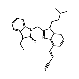 CC(C)CCn1c(Cn2c(=O)n(C(C)C)c3ccccc32)nc2c(/C=C/C#N)cccc21